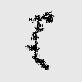 C=CCOCOC1CC(n2cc(/C=C/CNC(=O)COC(COc3cccc(C(=O)NCCCCCNC(=O)C(CCCCNC(=O)c4ccc5oc(-c6cc7ccc(N(CC)CC)cc7oc6=O)nc5c4)NC(=O)OC(C)(C)C)c3)OCC=C)c3c(N)ncnc32)OC1COP(=O)(O)OP(=O)(O)OP(=O)(O)O